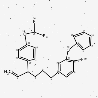 C=CC(CCCc1ccc(F)c(Oc2ccccc2)c1)c1ccc(OC(F)F)cc1